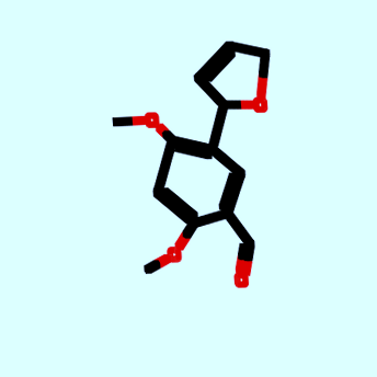 COc1cc(OC)c(C2C=CCO2)cc1C=O